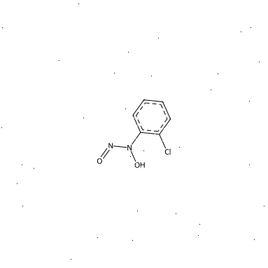 O=NN(O)c1ccccc1Cl